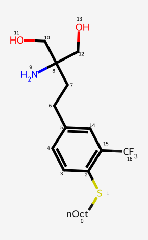 CCCCCCCCSc1ccc(CCC(N)(CO)CO)cc1C(F)(F)F